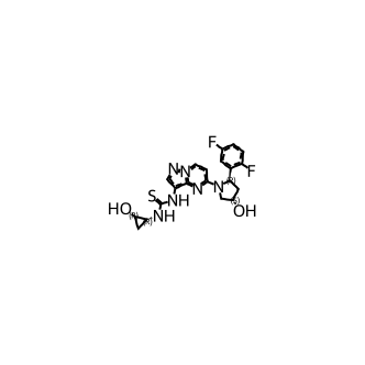 O[C@H]1C[C@H](c2cc(F)ccc2F)N(c2ccn3ncc(NC(=S)N[C@@H]4C[C@H]4O)c3n2)C1